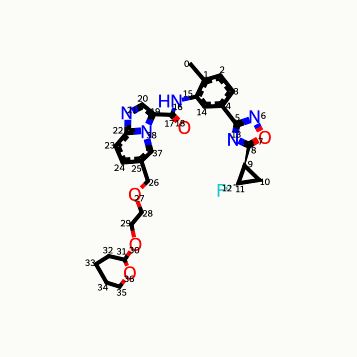 Cc1ccc(-c2noc([C@H]3C[C@@H]3F)n2)cc1NC(=O)c1cnc2ccc(COCCOC3CCCCO3)cn12